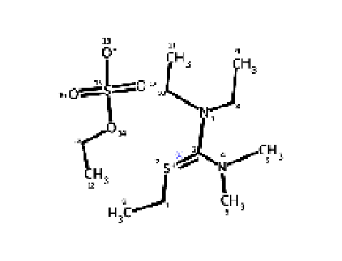 CC/[S+]=C(\N(C)C)N(CC)CC.CCOS(=O)(=O)[O-]